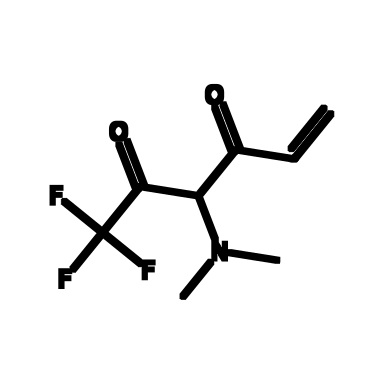 C=CC(=O)C(C(=O)C(F)(F)F)N(C)C